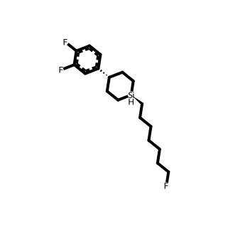 FCCCCCCC[Si@H]1CC[C@H](c2ccc(F)c(F)c2)CC1